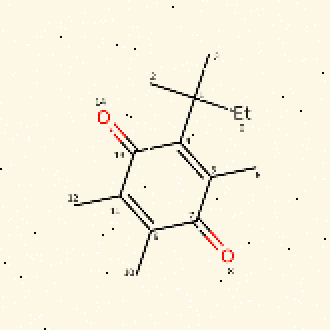 CCC(C)(C)C1=C(C)C(=O)C(C)=C(C)C1=O